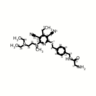 CCc1c(C#N)c(SCc2ccc(CNC(=O)CN)cc2)nc(N(C)CCN(CC)CC)c1C#N